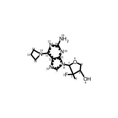 CC1(F)C(O)[CH]OC1n1cnc2c(N3CCC3)nc(N)nc21